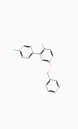 Nc1ccc(OCc2ccccc2)cc1-c1ccc(Cl)cc1